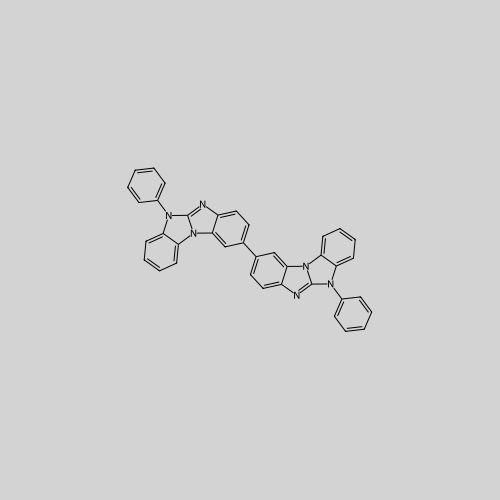 c1ccc(-n2c3ccccc3n3c4cc(-c5ccc6nc7n(-c8ccccc8)c8ccccc8n7c6c5)ccc4nc23)cc1